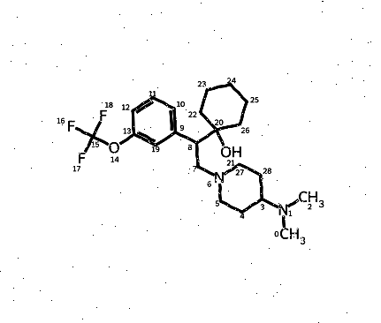 CN(C)C1CCN(CC(c2cccc(OC(F)(F)F)c2)C2(O)CCCCC2)CC1